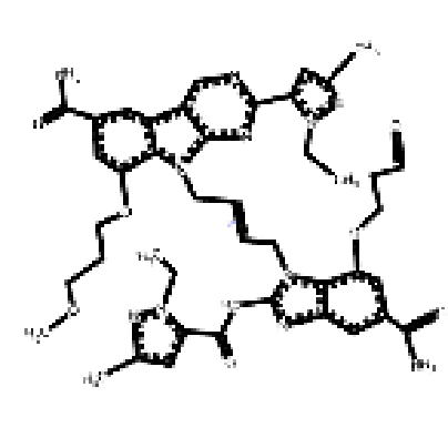 CCn1nc(C)cc1C(=O)Nc1nc2cc(C(N)=O)cc(OCCC=O)c2n1C/C=C/Cn1c2nc(-c3cc(C)nn3CC)ncc2c2cc(C(N)=O)cc(OCCCOC)c21